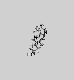 CN(C)c1c(Br)cnc2sc3c(=O)n(-c4ccc(O)cc4)cnc3c12